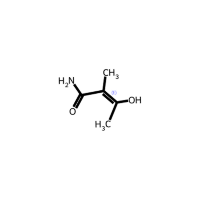 C/C(O)=C(/C)C(N)=O